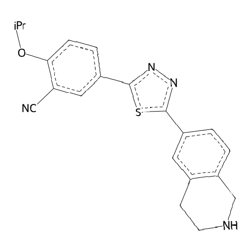 CC(C)Oc1ccc(-c2nnc(-c3ccc4c(c3)CCNC4)s2)cc1C#N